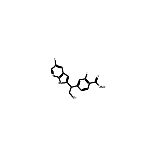 COC(=O)c1ccc(C(CC(C)C)c2cc3cc(F)cnc3[nH]2)cc1F